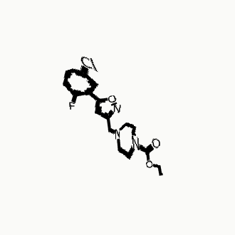 CCOC(=O)N1CCN(Cc2cc(-c3cc(Cl)ccc3F)on2)CC1